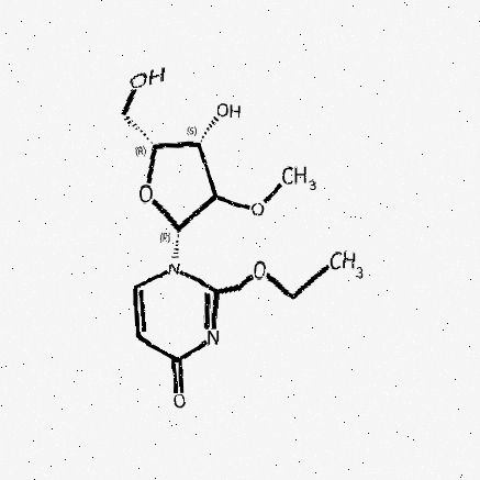 CCOc1nc(=O)ccn1[C@@H]1O[C@H](CO)[C@H](O)C1OC